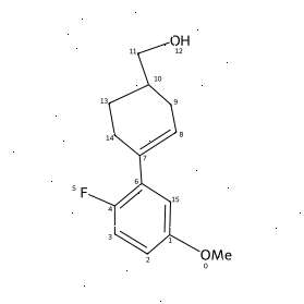 COc1ccc(F)c(C2=CCC(CO)CC2)c1